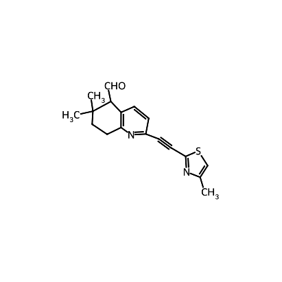 Cc1csc(C#Cc2ccc3c(n2)CCC(C)(C)C3C=O)n1